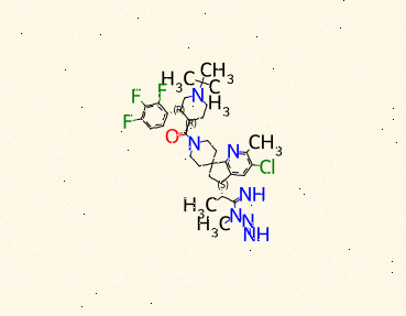 Cc1nc2c(cc1Cl)[C@H](C(C)C(=N)N(C)N=N)CC21CCN(C(=O)[C@@H]2CCN(C(C)(C)C)C[C@H]2c2ccc(F)c(F)c2F)CC1